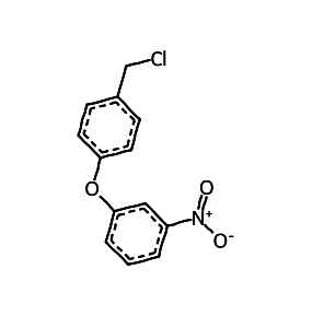 O=[N+]([O-])c1cccc(Oc2ccc(CCl)cc2)c1